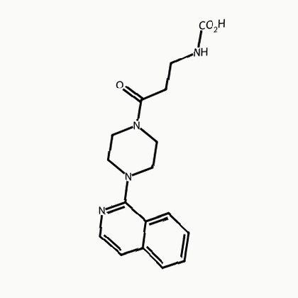 O=C(O)NCCC(=O)N1CCN(c2nccc3ccccc23)CC1